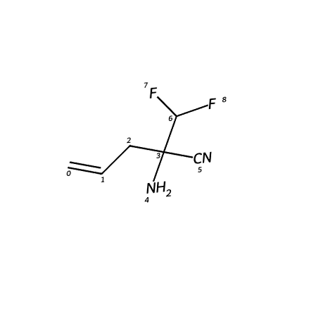 C=CCC(N)(C#N)C(F)F